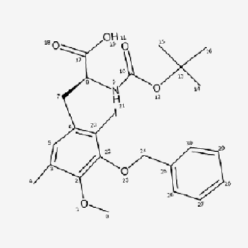 COc1c(C)cc(C[C@H](NC(=O)OC(C)(C)C)C(=O)O)c(I)c1OCc1ccccc1